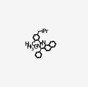 Cc1ccc(CC(C)C)cc1-c1nc2c(ccc3ccccc32)c(-c2ccccc2)[n+]1C